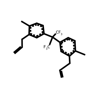 C=CCc1cc(C(c2ccc(C)c(CC=C)c2)(C(F)(F)F)C(F)(F)F)ccc1C